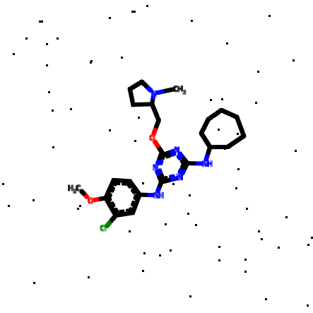 COc1ccc(Nc2nc(NC3CCCCCC3)nc(OCC3CCCN3C)n2)cc1Cl